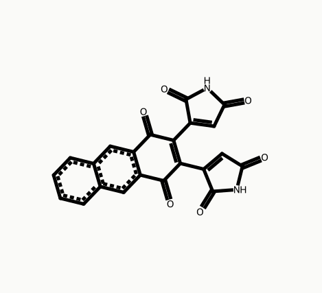 O=C1C=C(C2=C(C3=CC(=O)NC3=O)C(=O)c3cc4ccccc4cc3C2=O)C(=O)N1